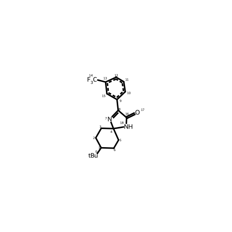 CC(C)(C)C1CCC2(CC1)N=C(c1cccc(C(F)(F)F)c1)C(=O)N2